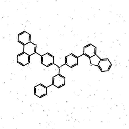 c1ccc(-c2cccc(N(c3ccc(-c4nc5ccccc5c5ccccc45)cc3)c3ccc(-c4cccc5c4oc4ccccc45)cc3)c2)cc1